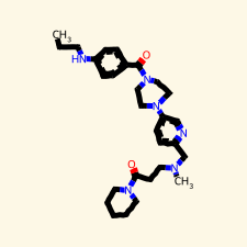 CCCNc1ccc(C(=O)N2CCN(c3ccc(CN(C)CCC(=O)N4CCCCC4)nc3)CC2)cc1